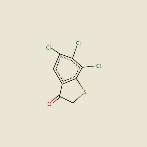 O=C1CSc2c1cc(Cl)c(Cl)c2Cl